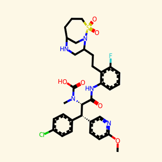 COc1ccc([C@H](c2ccc(Cl)cc2)[C@@H](C(=O)Nc2cccc(F)c2CCC2CNC3CCCS(=O)(=O)N2C3)N(C)C(=O)O)cn1